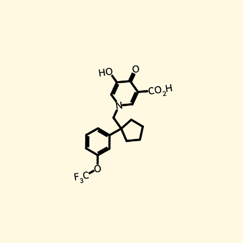 O=C(O)c1cn(CC2(c3cccc(OC(F)(F)F)c3)CCCC2)cc(O)c1=O